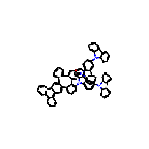 c1ccc2c(c1)-c1cc3c4ccccc4c4ccccc4c3cc1-c1cccc(-n3c4ccccc4c4cc(-n5c6ccccc6c6ccccc65)ccc43)c1-c1cc(-n3c4ccccc4c4cc(-n5c6ccccc6c6ccccc65)ccc43)ccc1-2